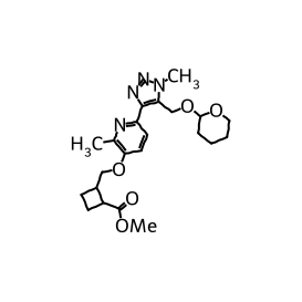 COC(=O)C1CCC1COc1ccc(-c2nnn(C)c2COC2CCCCO2)nc1C